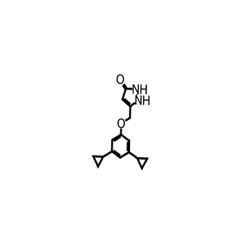 O=c1cc(COc2cc(C3CC3)cc(C3CC3)c2)[nH][nH]1